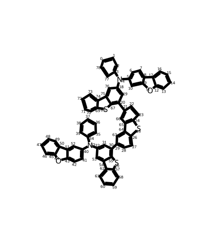 c1ccc(N(c2ccc3c(c2)oc2ccccc23)c2cc(-c3ccc4sc5ccc(-c6cc(N(c7ccccc7)c7ccc8oc9ccccc9c8c7)cc7c6sc6ccccc67)cc5c4c3)c3sc4ccccc4c3c2)cc1